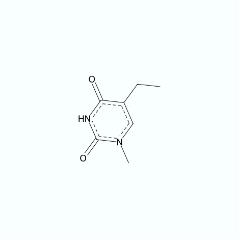 CCc1cn(C)c(=O)[nH]c1=O